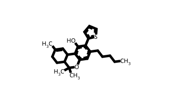 CCCCCc1cc2c(c(O)c1-c1cccs1)C1C=C(C)CCC1C(C)(C)O2